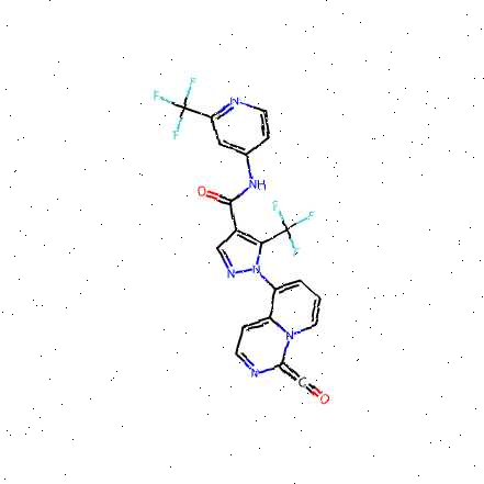 O=C=C1N=CC=C2C(n3ncc(C(=O)Nc4ccnc(C(F)(F)F)c4)c3C(F)(F)F)=CC=CN12